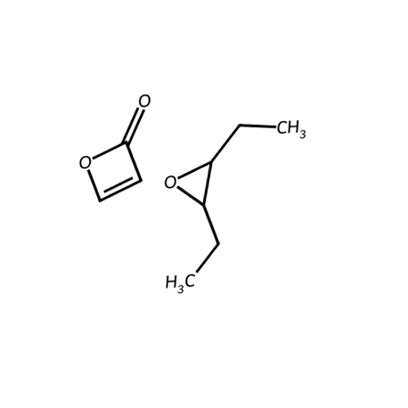 CCC1OC1CC.O=C1C=CO1